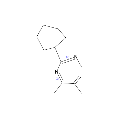 C=C(C)/C(C)=N\C(=N/C)C1CCCCC1